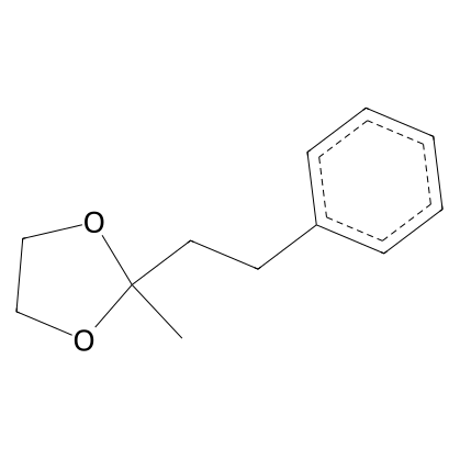 CC1(CCc2ccccc2)OCCO1